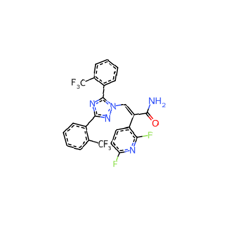 NC(=O)/C(=C/n1nc(-c2ccccc2C(F)(F)F)nc1-c1ccccc1C(F)(F)F)c1ccc(F)nc1F